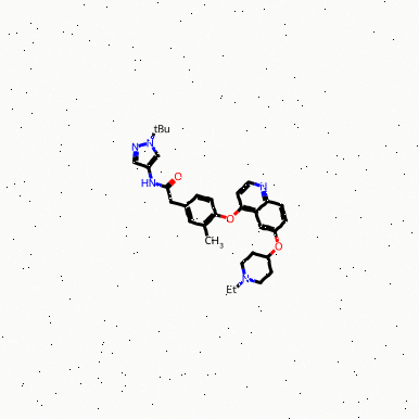 CCN1CCC(Oc2ccc3nccc(Oc4ccc(CC(=O)Nc5cnn(C(C)(C)C)c5)cc4C)c3c2)CC1